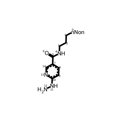 CCCCCCCCCCCCNC(=O)c1ccc(NN)nc1